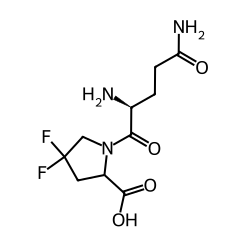 NC(=O)CC[C@H](N)C(=O)N1CC(F)(F)CC1C(=O)O